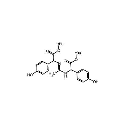 CC(C)(C)OC(=O)C(N=C(N)NC(C(=O)OC(C)(C)C)c1ccc(O)cc1)c1ccc(O)cc1